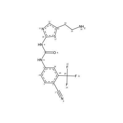 N#Cc1ccc(NC(=O)Nc2ncc(CCN)s2)cc1C(F)(F)F